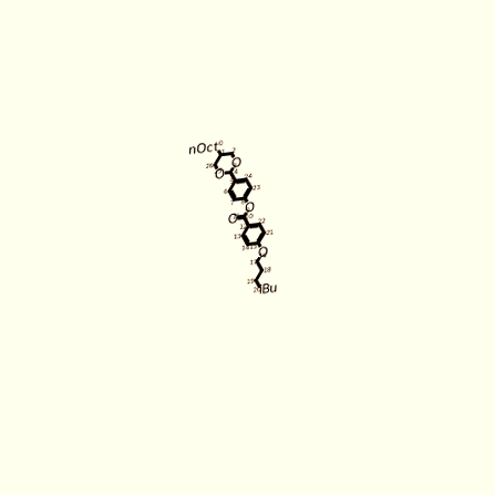 CCCCCCCCC1COC(c2ccc(OC(=O)c3ccc(OCCCC(C)CC)cc3)cc2)OC1